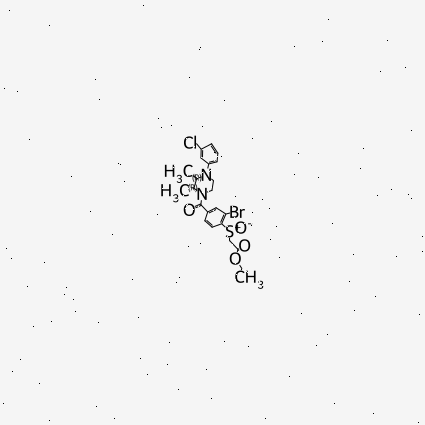 CCOC(=O)C[S+]([O-])c1ccc(C(=O)N2CCN(c3cccc(Cl)c3)[C@H](C)[C@H]2C)cc1Br